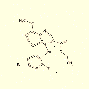 CCOC(=O)c1cnc2c(OC)cccc2c1Nc1ccccc1F.Cl